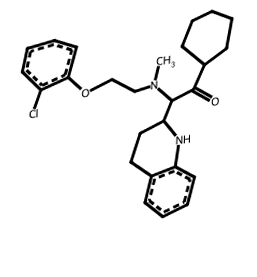 CN(CCOc1ccccc1Cl)C(C(=O)C1CCCCC1)C1CCc2ccccc2N1